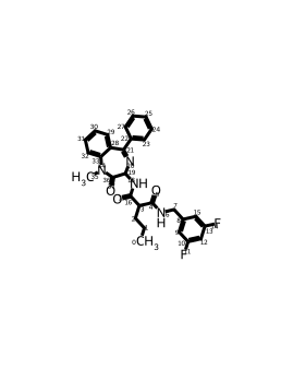 CCCC(C(=O)NCc1cc(F)cc(F)c1)C(=O)NC1N=C(c2ccccc2)c2ccccc2N(C)C1=O